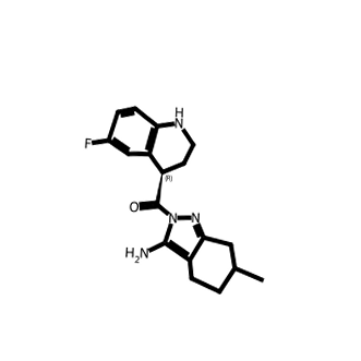 CC1CCc2c(nn(C(=O)[C@@H]3CCNc4ccc(F)cc43)c2N)C1